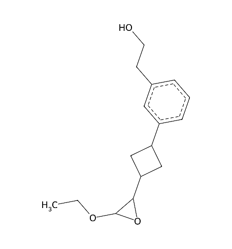 CCOC1OC1C1CC(c2cccc(CCO)c2)C1